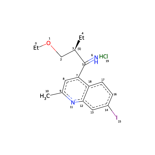 CCOC[C@@H](CC)C(=N)c1cc(C)nc2cc(I)ccc12.Cl